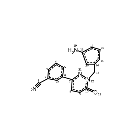 N#Cc1cccc(-c2ccc(=O)n(Cc3cccc(N)c3)n2)c1